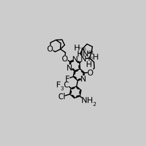 Nc1cc(Cl)c(C(F)(F)F)c(-c2nc3c4c(nc(OCC56CCC(COC5)C6)nc4c2F)N2C[C@H]4CC[C@H](N4)[C@H]2CCO3)c1